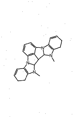 CN1C2=C(C=CCC2)N2c3cccc4c3C(C12)C1N(C)C2=C(C=CCC2)N41